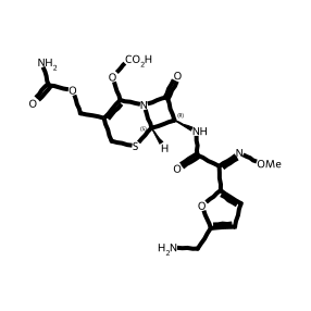 CON=C(C(=O)N[C@@H]1C(=O)N2C(OC(=O)O)=C(COC(N)=O)CS[C@@H]12)c1ccc(CN)o1